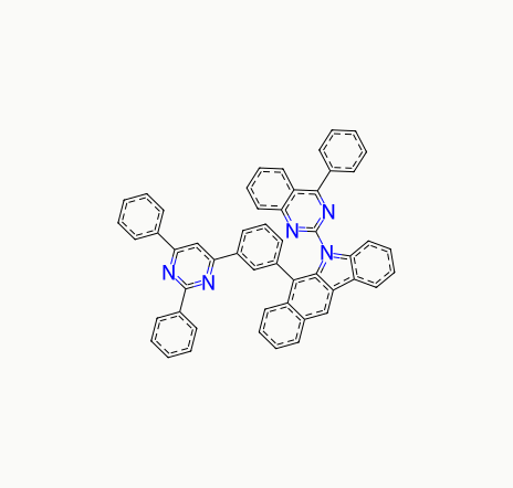 c1ccc(-c2cc(-c3cccc(-c4c5ccccc5cc5c6ccccc6n(-c6nc(-c7ccccc7)c7ccccc7n6)c45)c3)nc(-c3ccccc3)n2)cc1